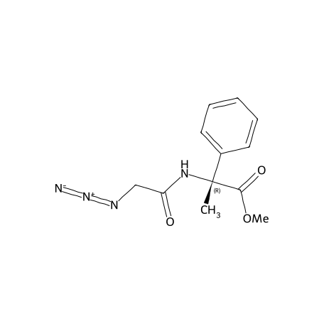 COC(=O)[C@](C)(NC(=O)CN=[N+]=[N-])c1ccccc1